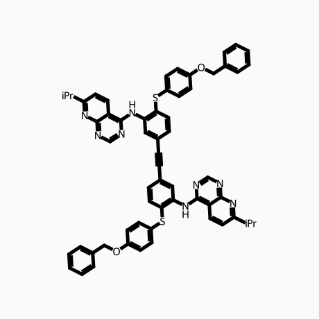 CC(C)c1ccc2c(Nc3cc(C#Cc4ccc(Sc5ccc(OCc6ccccc6)cc5)c(Nc5ncnc6nc(C(C)C)ccc56)c4)ccc3Sc3ccc(OCc4ccccc4)cc3)ncnc2n1